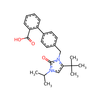 CC(C)n1cc(C(C)(C)C)n(Cc2ccc(-c3ccccc3C(=O)O)cc2)c1=O